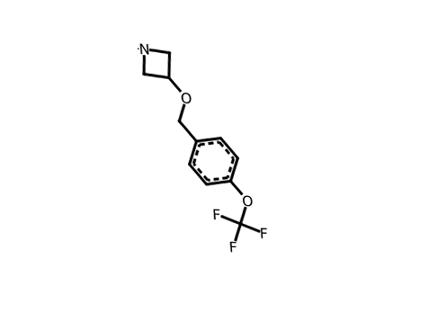 FC(F)(F)Oc1ccc(COC2C[N]C2)cc1